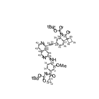 COc1cc(S(=O)(=NC(=O)OC(C)(C)C)C2CC2)ccc1Nc1cc2c(C#Cc3ccc4c(c3)N(C(=O)OC(C)(C)C)C(=O)C43CCC3)nccc2cn1